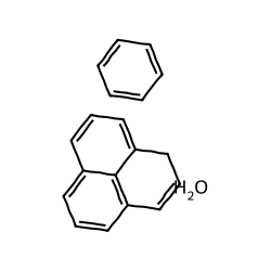 C1=Cc2cccc3cccc(c23)C1.O.c1ccccc1